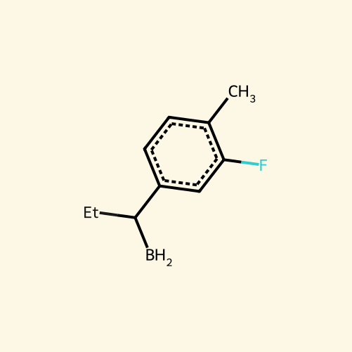 BC(CC)c1ccc(C)c(F)c1